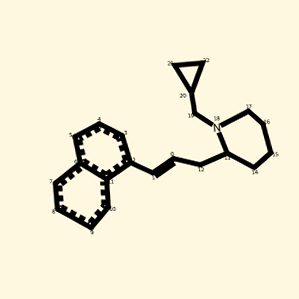 C(=Cc1cccc2ccccc12)CC1CCCCN1CC1CC1